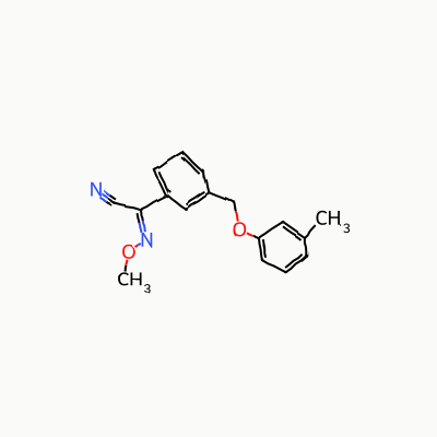 CON=C(C#N)c1cccc(COc2cccc(C)c2)c1